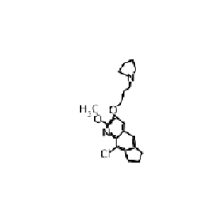 COc1nc2c(Cl)c3c(cc2cc1OCCCN1CCCC1)CCC3